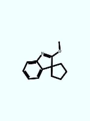 COC1=Nc2ccccc2C12CCCC2